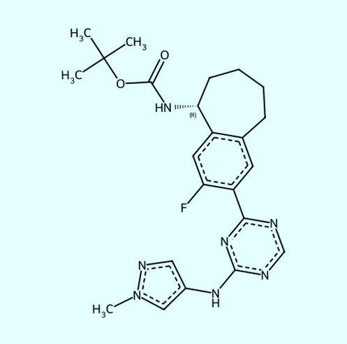 Cn1cc(Nc2ncnc(-c3cc4c(cc3F)[C@H](NC(=O)OC(C)(C)C)CCCC4)n2)cn1